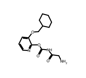 NCC(=O)NC(=O)Oc1ncccc1OCC1CCCCC1